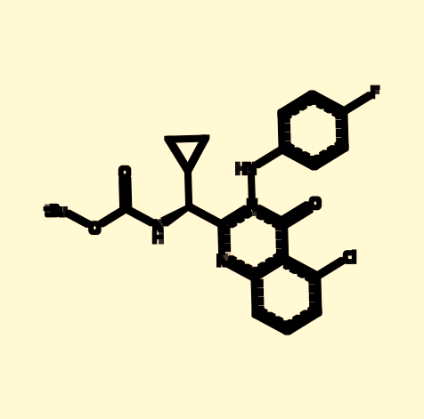 CC(C)(C)OC(=O)N[C@H](c1nc2cccc(Cl)c2c(=O)n1Nc1ccc(F)cc1)C1CC1